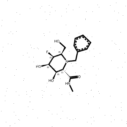 CNC(=O)[C@@H]1[C@@H](O)[C@@H](O)[C@@H](F)[C@@H](CO)N1Cc1ccccc1